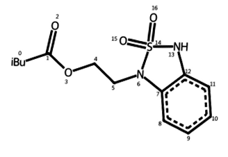 CCC(C)C(=O)OCCN1c2ccccc2NS1(=O)=O